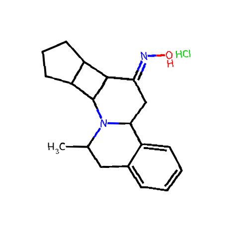 CC1Cc2ccccc2C2CC(=NO)C3C4CCCC4C3N12.Cl